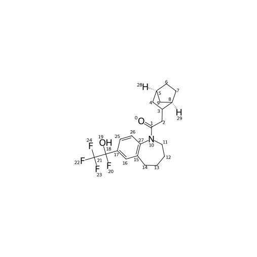 O=C(CC1C[C@H]2CC[C@@H]1C2)N1CCCCc2cc(C(O)(F)C(F)(F)F)ccc21